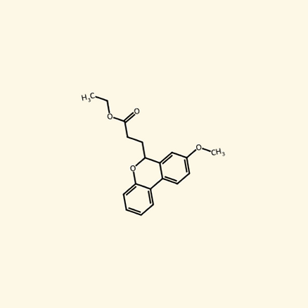 CCOC(=O)CCC1Oc2ccccc2-c2ccc(OC)cc21